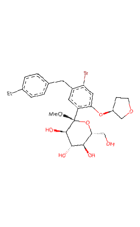 CCc1ccc(Cc2cc([C@]3(OC)O[C@H](CO)[C@@H](O)[C@H](O)[C@H]3O)c(O[C@H]3CCOC3)cc2Br)cc1